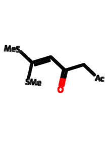 CSC(=CC(=O)CC(C)=O)SC